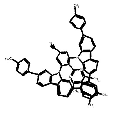 Cc1ccc(-c2ccc3c4ccc(-c5ccc(C)cc5)cc4n(-c4cc(C#N)cc(-n5c6cc(-c7ccc(C)cc7)ccc6c6ccc(-c7ccc(C)cc7)cc65)c4-c4nc(C)cc(C)n4)c3c2)cc1